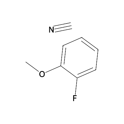 C#N.COc1ccccc1F